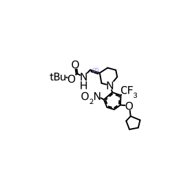 CC(C)(C)OC(=O)N/C=C1/CCCN(c2c([N+](=O)[O-])ccc(OC3CCCC3)c2C(F)(F)F)C1